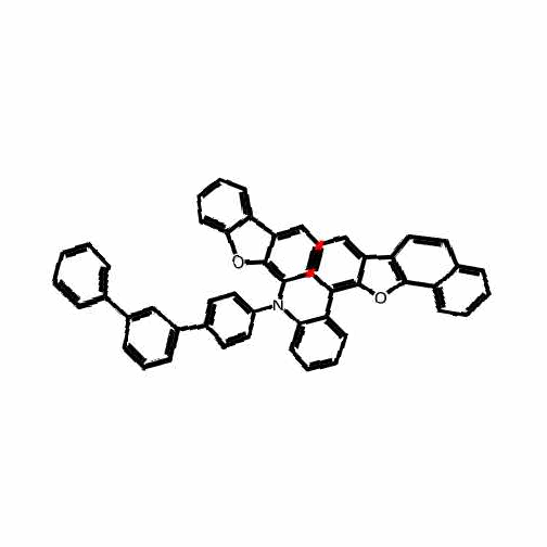 c1ccc(-c2cccc(-c3ccc(N(c4ccccc4-c4cccc5c4oc4c6ccccc6ccc54)c4cccc5c4oc4ccccc45)cc3)c2)cc1